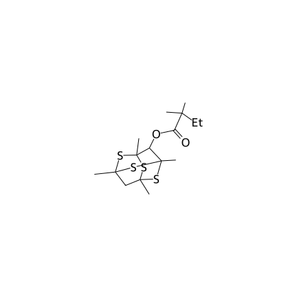 CCC(C)(C)C(=O)OC1C2(C)SC3(C)CC(C)(S2)SC1(C)S3